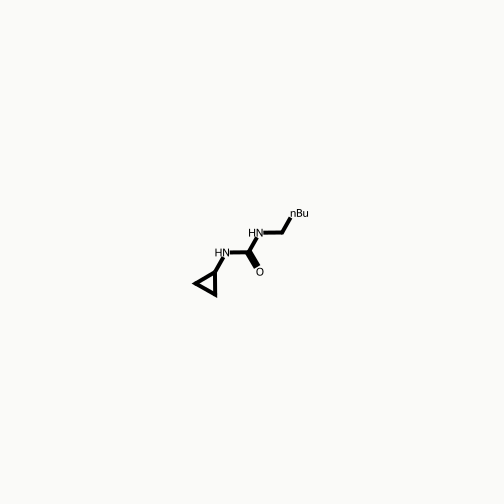 CCCCCNC(=O)NC1CC1